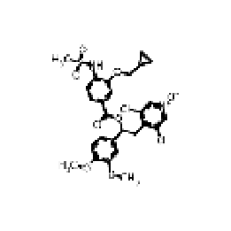 COc1ccc([C@H](Cc2c(Cl)c[n+]([O-])cc2Cl)OC(=O)c2ccc(NS(C)(=O)=O)c(OCC3CC3)c2)cc1OC